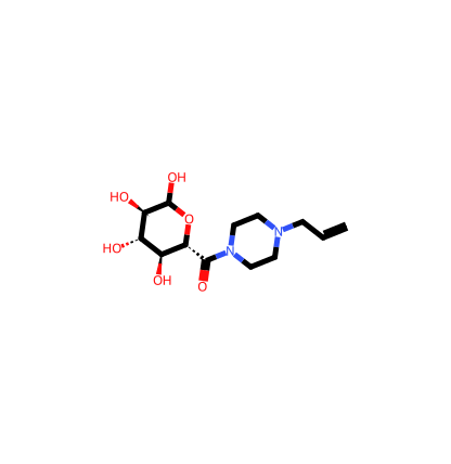 C=CCN1CCN(C(=O)[C@H]2OC(O)[C@H](O)[C@@H](O)[C@@H]2O)CC1